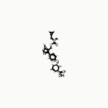 CN(CC1CC1)C(=O)OCc1c(-c2ccc(O[C@H]3CCC[C@H](C(=O)O)C3)cc2)nnn1C